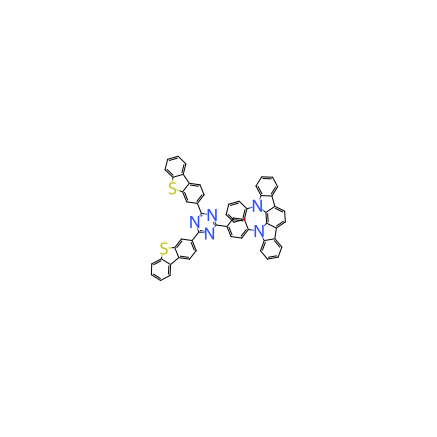 c1ccc(-n2c3ccccc3c3ccc4c5ccccc5n(-c5ccc(-c6nc(-c7ccc8c(c7)sc7ccccc78)nc(-c7ccc8c(c7)sc7ccccc78)n6)cc5)c4c32)cc1